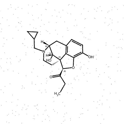 CCC(=O)[C@@H]1Oc2c(O)ccc3c2[C@@]12CCN(CC1CC1)[C@H](C3)[C@H]2O